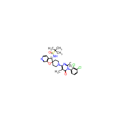 Cc1c(N2CCC3(CC2)Oc2cnccc2[C@@H]3N[S@@+]([O-])C(C)(C)C)nc(C)n(-c2cccc(Cl)c2Cl)c1=O